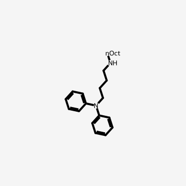 CCCCCCCCNCCCCN(c1ccccc1)c1ccccc1